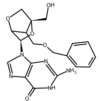 Nc1nc2c(ncn2[C@@H]2O[C@@]3(CO)COC2C3COCc2ccccc2)c(=O)[nH]1